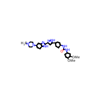 COc1ccc(NC(=O)Nc2ccc(-c3cc(-c4nc5cc(N6CCN(C)CC6)ccc5[nH]4)n[nH]3)cc2)cc1OC